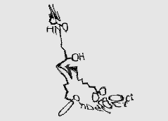 CCCCCCCCCCCOC(=O)CCCCCN(CCCCCCCC(=O)OC(CCCCCCCC)CCCCCCCC)CC(O)CCCCNC(=O)c1cccnn1